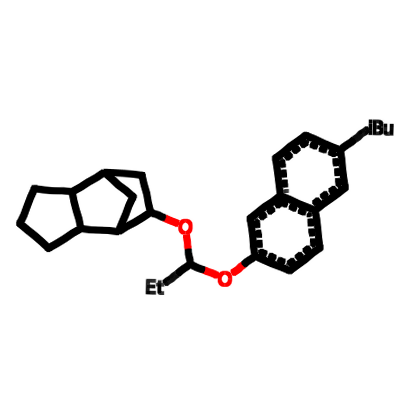 CCC(Oc1ccc2cc(C(C)CC)ccc2c1)OC1CC2CC1C1CCCC21